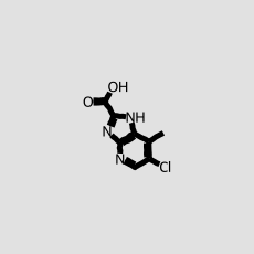 Cc1c(Cl)cnc2nc(C(=O)O)[nH]c12